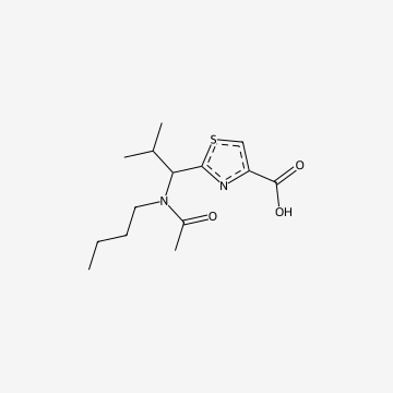 CCCCN(C(C)=O)C(c1nc(C(=O)O)cs1)C(C)C